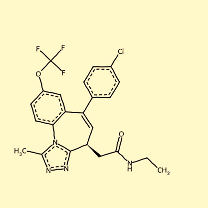 CCNC(=O)C[C@@H]1C=C(c2ccc(Cl)cc2)c2cc(OC(F)(F)F)ccc2-n2c(C)nnc21